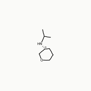 CC(C)N[C@@H]1CCCOC1